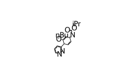 CCCCOC1=C/C(=N\C(=O)OC(C)C)C=CC1c1cccnn1